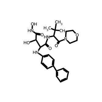 CC(C)(C)C(NC(=O)C(Nc1ccc(-c2ccccc2)cc1)C(O)C(=O)NO)C(=O)N1CCOCC1